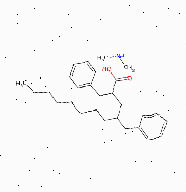 CCCCCCCCC(Cc1ccccc1)CC(Cc1ccccc1)C(=O)O.CNC